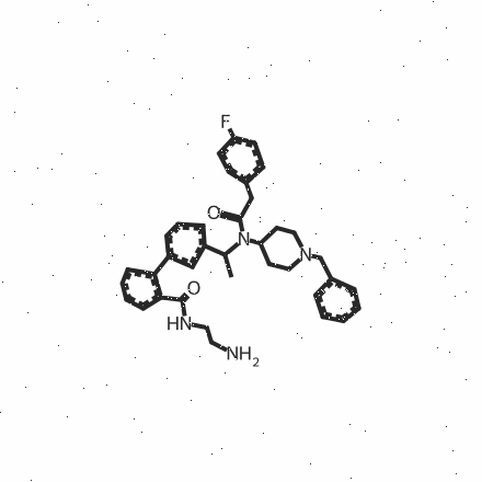 CC(c1cccc(-c2ccccc2C(=O)NCCN)c1)N(C(=O)Cc1ccc(F)cc1)C1CCN(Cc2ccccc2)CC1